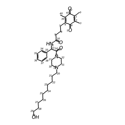 CC1=C(C)C(=O)C(CCCC(=O)NC(C(=O)N2CCN(CCCCCCCCCCO)CC2)c2ccccc2)=C(C)C1=O